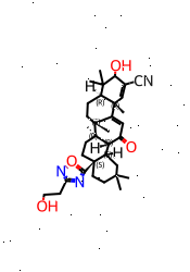 CC1(C)CC[C@]2(c3nc(CCO)no3)CC[C@]3(C)[C@H](C(=O)C=C4[C@@]5(C)C=C(C#N)C(O)C(C)(C)[C@@H]5CC[C@]43C)[C@@H]2C1